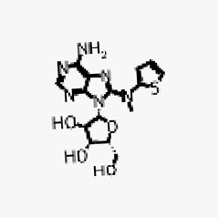 CN(c1cccs1)c1nc2c(N)ncnc2n1[C@@H]1O[C@H](CO)[C@@H](O)[C@H]1O